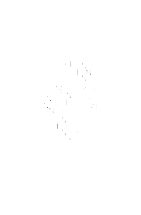 O=C(NCc1cc(Cl)ccc1-n1cc(Cl)nn1)c1cn(Cc2cn3cc(C4CC4)ccc3n2)nn1